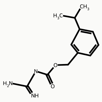 CC(C)c1cccc(COC(=O)[N]C(=N)N)c1